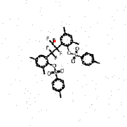 Cc1ccc(S(=O)(=O)Oc2c(C)cc(C)cc2C(F)(F)C(F)(c2cc(C)cc(C)c2OS(=O)(=O)c2ccc(C)cc2)C(F)(F)F)cc1